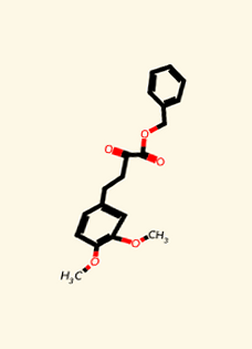 COc1ccc(CCC(=O)C(=O)OCc2ccccc2)cc1OC